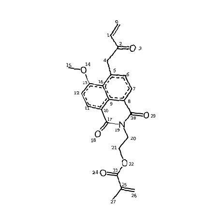 C=CC(=O)Cc1ccc2c3c(ccc(OC)c13)C(=O)N(CCOC(=O)C(=C)C)C2=O